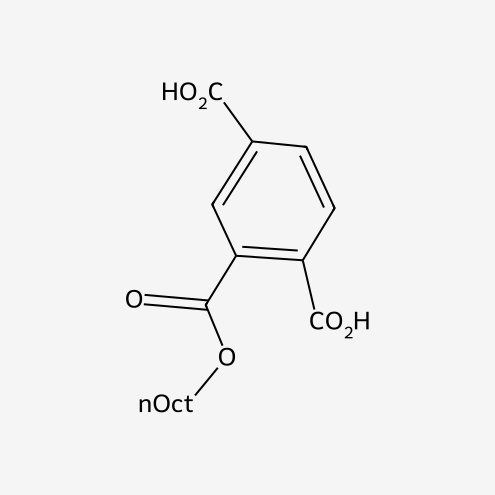 CCCCCCCCOC(=O)c1cc(C(=O)O)ccc1C(=O)O